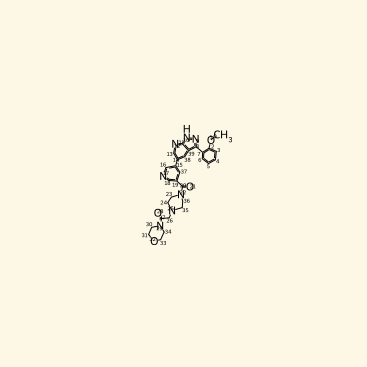 COc1ccccc1-c1n[nH]c2ncc(-c3cncc(C(=O)N4CCN(CC(=O)N5CCOCC5)CC4)c3)cc12